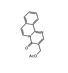 CC(=O)OCc1cnc2c3ccccc3ccn2c1=O